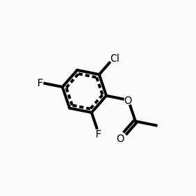 CC(=O)Oc1c(F)cc(F)cc1Cl